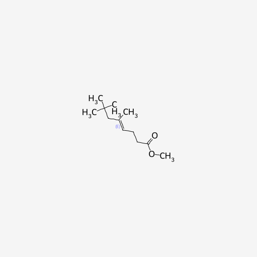 COC(=O)CC/C=C(\C)CC(C)(C)C